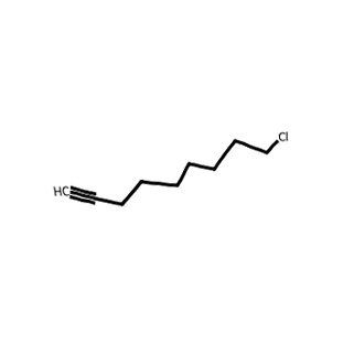 C#CCCCCCCCCl